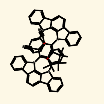 CC1(C)c2c(-n3c4ccccc4c4ccc5c6ccccc6n(-c6ccccc6)c5c43)c(C#N)c(C#N)c(-n3c4ccccc4c4ccc5c6ccccc6n(-c6ccccc6)c5c43)c2C(C)(C)C1(C)C